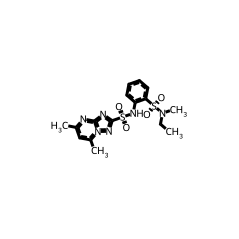 CCN(C)S(=O)(=O)c1ccccc1NS(=O)(=O)c1nc2nc(C)cc(C)n2n1